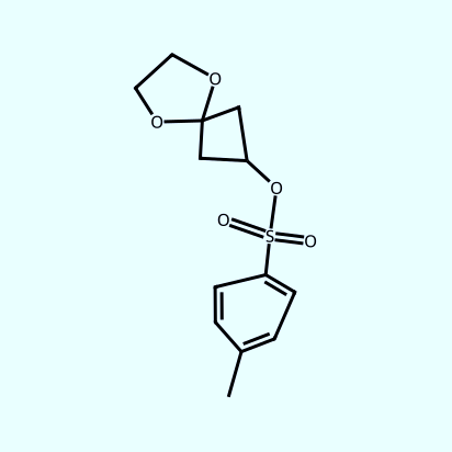 Cc1ccc(S(=O)(=O)OC2CC3(C2)OCCO3)cc1